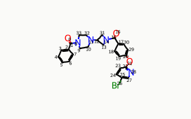 O=C(c1ccccc1)N1CCN(C2CN(C(=O)c3ccc(Oc4ccc(Br)cn4)cc3)C2)CC1